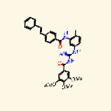 COc1cc(C(=O)NC(=N)Nc2ccc(C)c(NC(=O)c3ccc(/C=C/c4ccccc4)cc3)c2)cc(OC)c1OC